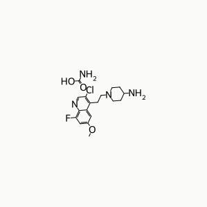 COc1cc(F)c2ncc(Cl)c(CCN3CCC(N)CC3)c2c1.NC(=O)O